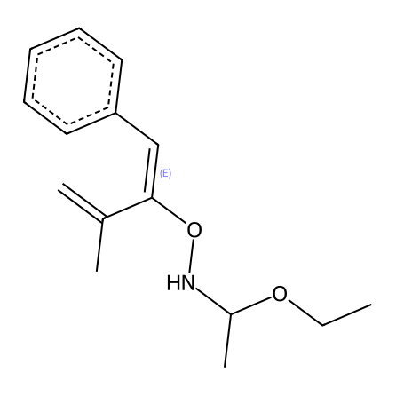 C=C(C)/C(=C\c1ccccc1)ONC(C)OCC